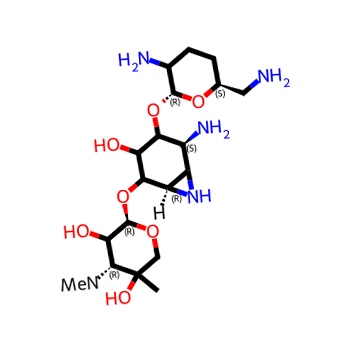 CN[C@@H]1C(O)[C@@H](OC2C(O)C(O[C@H]3O[C@H](CN)CCC3N)[C@@H](N)C3N[C@@H]23)OCC1(C)O